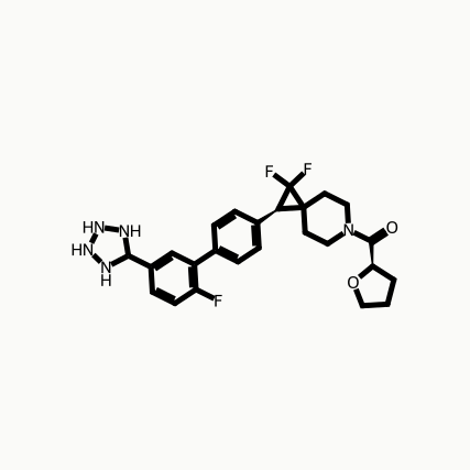 O=C([C@H]1CCCO1)N1CCC2(CC1)[C@@H](c1ccc(-c3cc(C4NNNN4)ccc3F)cc1)C2(F)F